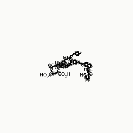 Cc1ccc(CCCC(=O)NCCC(F)C[C@H](NC(=O)CN2CCN(CC(=O)O)CCN(CC(=O)O)CCN(CC(=O)O)CC2)C(=O)NC(=O)C(C)(C)CC(C)(C)C(=O)N2CCN(CCCOc3ccc4cccc(C(=O)NCC(=O)N5CC(F)(F)C[C@@H]5C#N)c4c3)CC2)cc1